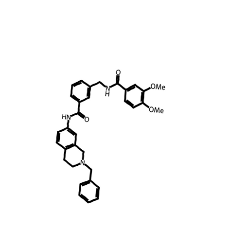 COc1ccc(C(=O)NCc2cccc(C(=O)Nc3ccc4c(c3)CN(Cc3ccccc3)CC4)c2)cc1OC